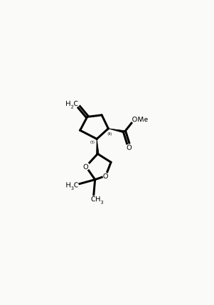 C=C1C[C@H](C2COC(C)(C)O2)[C@H](C(=O)OC)C1